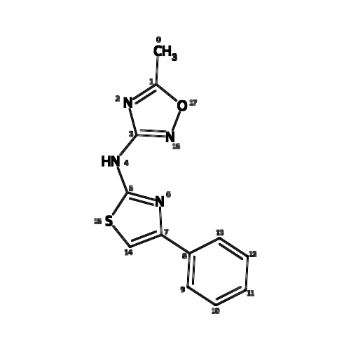 Cc1nc(Nc2nc(-c3ccccc3)cs2)no1